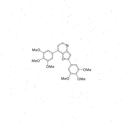 COc1cc(-c2cc3nccc(-c4cc(OC)c(OC)c(OC)c4)c3o2)cc(OC)c1OC